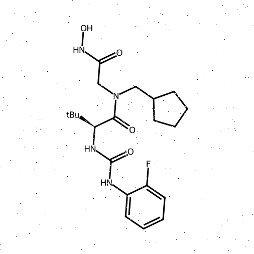 CC(C)(C)[C@H](NC(=O)Nc1ccccc1F)C(=O)N(CC(=O)NO)CC1CCCC1